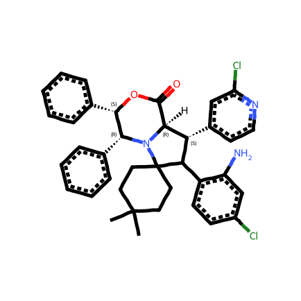 CC1(C)CCC2(CC1)C(c1ccc(Cl)cc1N)[C@@H](c1ccnc(Cl)c1)[C@@H]1C(=O)O[C@@H](c3ccccc3)[C@@H](c3ccccc3)N12